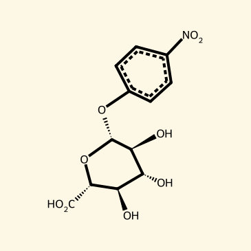 O=C(O)[C@@H]1O[C@H](Oc2ccc([N+](=O)[O-])cc2)[C@@H](O)[C@H](O)[C@H]1O